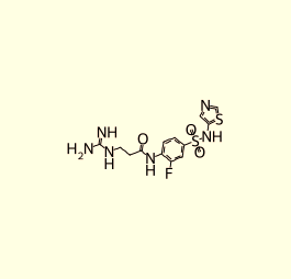 N=C(N)NCCC(=O)Nc1ccc(S(=O)(=O)Nc2cncs2)cc1F